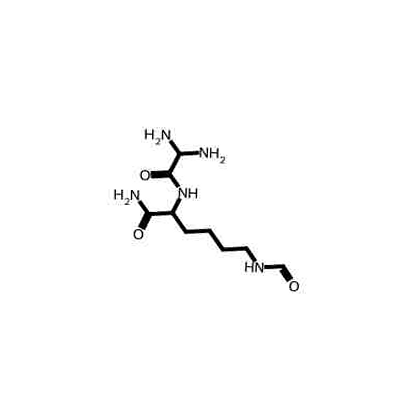 NC(=O)C(CCCCNC=O)NC(=O)C(N)N